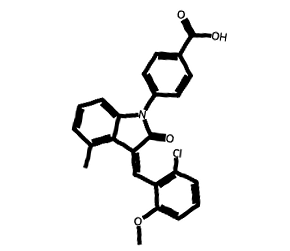 COc1cccc(Cl)c1/C=C1\C(=O)N(c2ccc(C(=O)O)cc2)c2cccc(C)c21